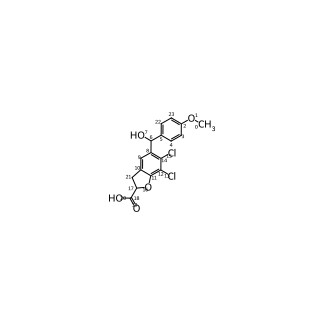 COc1ccc(C(O)c2cc3c(c(Cl)c2Cl)OC(C(=O)O)C3)cc1